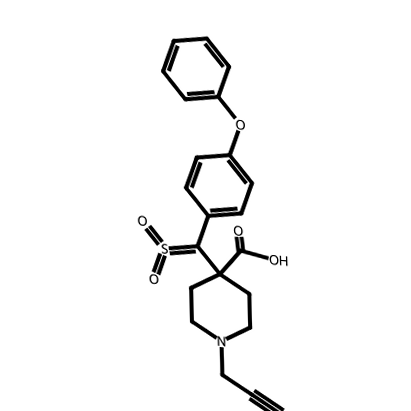 C#CCN1CCC(C(=O)O)(C(c2ccc(Oc3ccccc3)cc2)=S(=O)=O)CC1